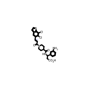 Nc1cccc(C(CC(=O)O)NC(=O)C2CCN(C(=O)/C=C/c3cc4ccsc4c(Cl)c3Cl)CC2)c1